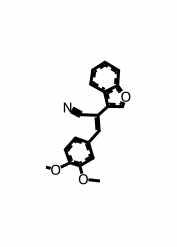 COc1ccc(/C=C(\C#N)c2coc3ccccc23)cc1OC